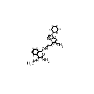 CO/N=C(/C(N)=O)c1ccccc1CON=CCC1=C(C)SC2N1N=CN2C1CCCCC1